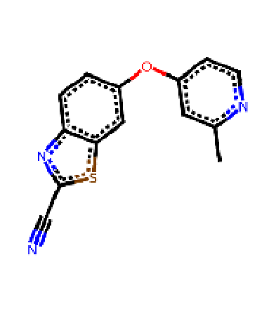 Cc1cc(Oc2ccc3nc(C#N)sc3c2)ccn1